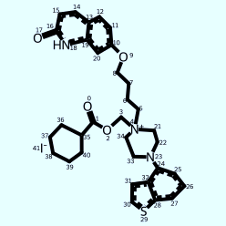 O=C(OC[N+]1(CCCCOc2ccc3ccc(=O)[nH]c3c2)CCN(c2cccc3sccc23)CC1)C1CCCCC1.[I-]